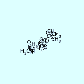 COc1cc(-c2cc(=O)c3c(OC)c(OCCCCSc4nnc(C)n4N=Cc4ccccc4)c(OC)cc3o2)cc(OC)c1OC